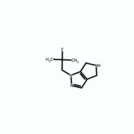 CC(C)(F)Cn1ncc2c1CNC2